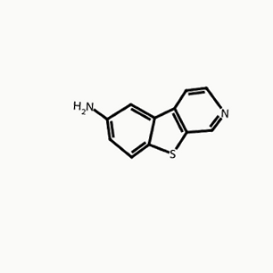 Nc1ccc2sc3cnccc3c2c1